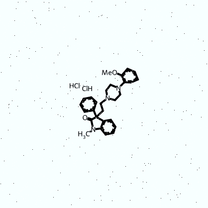 COc1ccccc1N1CCN(CCC2(c3ccccc3)C(=O)N(C)c3ccccc32)CC1.Cl.Cl